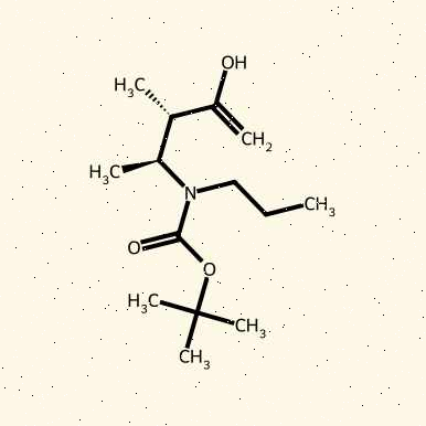 C=C(O)[C@@H](C)[C@H](C)N(CCC)C(=O)OC(C)(C)C